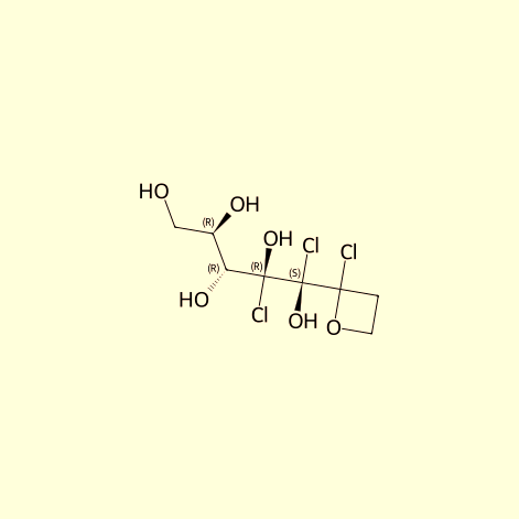 OC[C@@H](O)[C@@H](O)[C@@](O)(Cl)[C@](O)(Cl)C1(Cl)CCO1